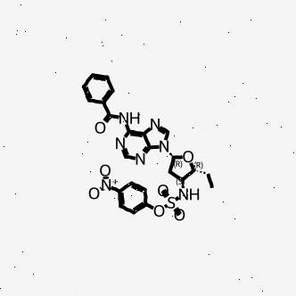 CC[C@H]1O[C@@H](n2cnc3c(NC(=O)c4ccccc4)ncnc32)C[C@@H]1NS(=O)(=O)Oc1ccc([N+](=O)[O-])cc1